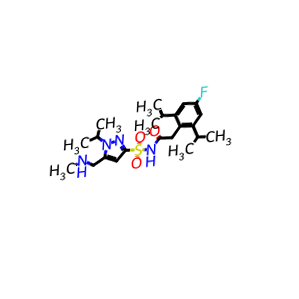 CNCc1cc(S(=O)(=O)NC(=O)Cc2c(C(C)C)cc(F)cc2C(C)C)nn1C(C)C